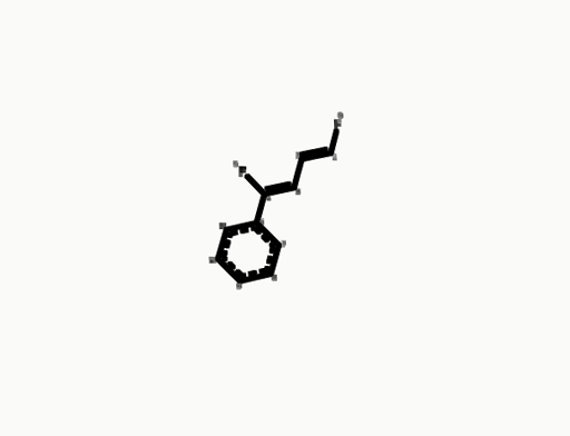 FC=CC=C(F)c1ccccc1